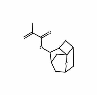 C=C(C)C(=O)OC1C2CC3CC4CC1C4(C3)C2